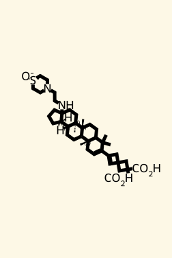 CC1(C)C(C2=CC3(C2)CC(C(=O)O)(C(=O)O)C3)=CC[C@@]2(C)C1CC[C@]1(C)C2CC[C@@H]2[C@H]3CCCC3(NCCN3CC[S+]([O-])CC3)CC[C@]21C